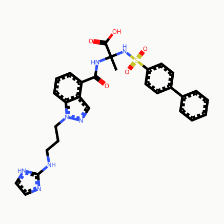 CC(NC(=O)c1cccc2c1cnn2CCCNc1ncc[nH]1)(NS(=O)(=O)c1ccc(-c2ccccc2)cc1)C(=O)O